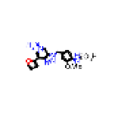 COc1cc(Cn2nnc3c2CN(N)C=C3c2ccco2)ccc1NS(=O)(=O)O